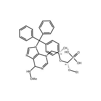 CCO[C@H](O[C@@H](C)CN1C=NC(NOC)c2ncn(C(c3ccccc3)(c3ccccc3)c3ccccc3)c21)P(=O)(O)O